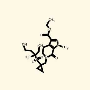 CCOC(=O)c1nn(C)c2c1CCN(CC1(S(=O)(=O)C(C)(CC)CCO)CC1)C2=O